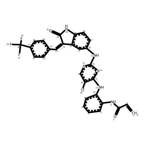 C=CC(=O)Nc1ccccc1Nc1nc(Nc2ccc3c(c2)/C(=C/c2ccc(C(F)(F)F)cc2)C(=O)N3)ncc1Cl